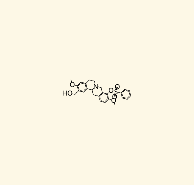 COc1cc2c(cc1CO)C1Cc3ccc(OC)c(OS(=O)(=O)c4ccccc4)c3CN1CC2